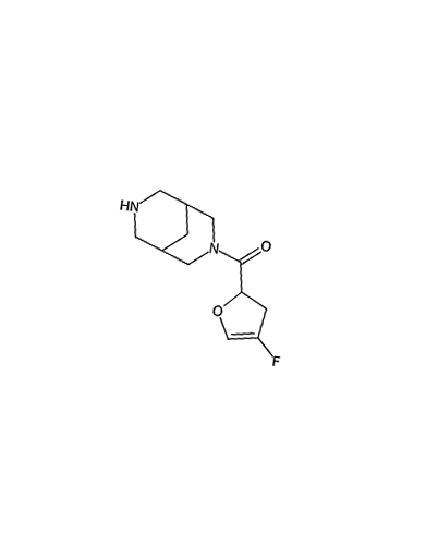 O=C(C1CC(F)=CO1)N1CC2CNCC(C2)C1